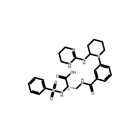 O=C(NC[C@H](NS(=O)(=O)c1ccccc1)C(=O)O)c1cccc(N2CCCCC2NC2=NCCCN2)c1